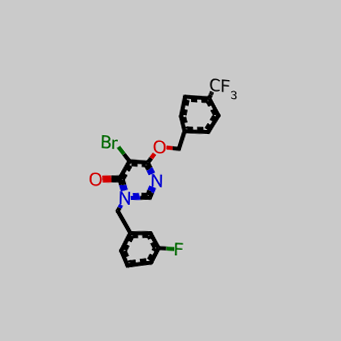 O=c1c(Br)c(OCc2ccc(C(F)(F)F)cc2)ncn1Cc1cccc(F)c1